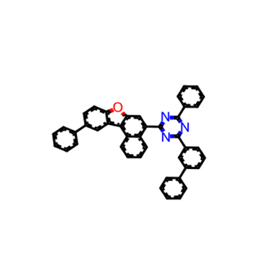 c1ccc(-c2cccc(-c3nc(-c4ccccc4)nc(-c4cc5oc6ccc(-c7ccccc7)cc6c5c5ccccc45)n3)c2)cc1